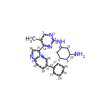 Cc1cnc(NC2CCCC(N)C2)nc1-c1cnc2ccc(-c3ccccc3)cn12